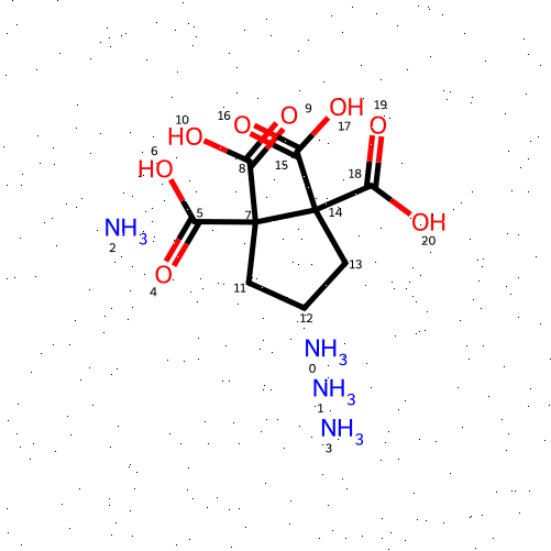 N.N.N.N.O=C(O)C1(C(=O)O)CCCC1(C(=O)O)C(=O)O